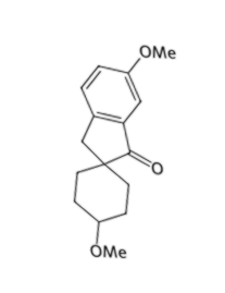 COc1ccc2c(c1)C(=O)C1(CCC(OC)CC1)C2